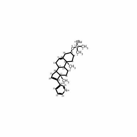 CC(C)(C)[Si](C)(C)O[C@H]1CC[C@@]2(C)C(=CCC3C2CC[C@]2(C)C(c4cccnc4)=CCC32)C1